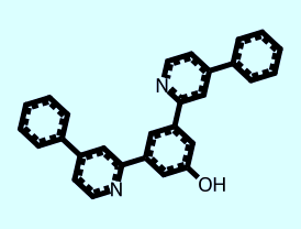 Oc1cc(-c2cc(-c3ccccc3)ccn2)cc(-c2cc(-c3ccccc3)ccn2)c1